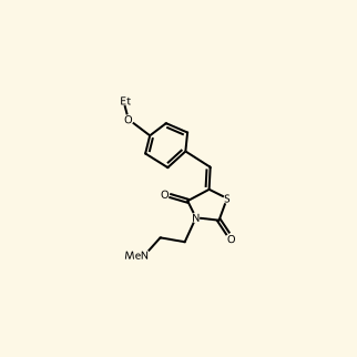 CCOc1ccc(C=C2SC(=O)N(CCNC)C2=O)cc1